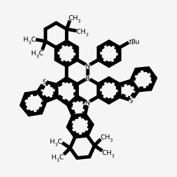 CC(C)(C)c1ccc(N2B3c4cc5c(cc4-n4c6cc7c(cc6c6c8c(sc9ccccc98)c(c3c64)-c3cc4c(cc32)C(C)(C)CCC4(C)C)C(C)(C)CCC7(C)C)sc2ccccc25)cc1